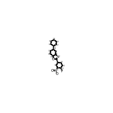 O=[N+]([O-])c1cc(-c2nc3cc(-c4ccccc4)ccc3o2)ccc1F